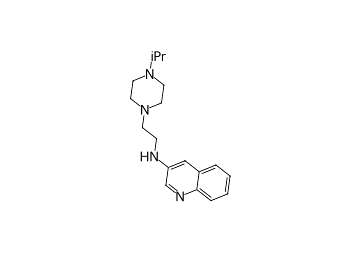 CC(C)N1CCN(CCNc2cnc3ccccc3c2)CC1